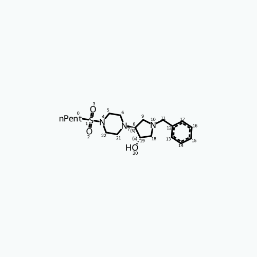 CCCCCS(=O)(=O)N1CCN([C@H]2CN(Cc3ccccc3)C[C@@H]2O)CC1